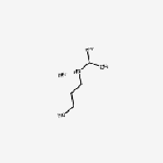 Br.CCCC(O)NCCCO